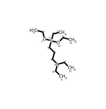 CCO[Si](CC)(CCCN(CC)CC)OCC